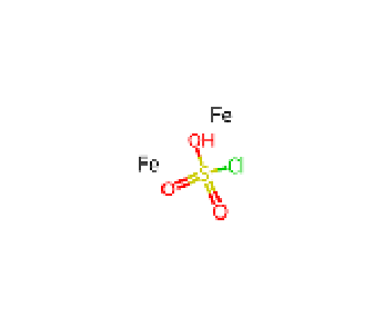 O=S(=O)(O)Cl.[Fe].[Fe]